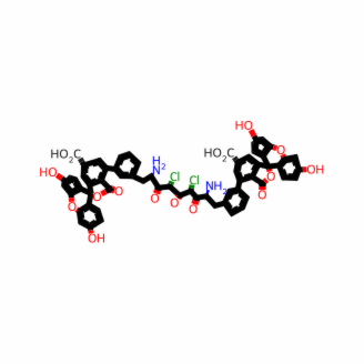 N[C@@H](Cc1cccc(-c2cc(C(=O)O)cc3c2C(=O)OC32c3ccc(O)cc3Oc3cc(O)ccc32)c1)C(=O)C(Cl)C(=O)C(Cl)C(=O)[C@@H](N)Cc1cccc(-c2cc(C(=O)O)cc3c2C(=O)OC32c3ccc(O)cc3Oc3cc(O)ccc32)c1